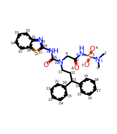 CN(C)S(=O)(=O)NC(=O)CN(CCC(c1ccccc1)c1ccccc1)C(=O)Nc1nc2ccccc2s1